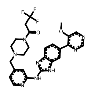 COc1cncnc1-c1ccc2nc(Nc3cc(CN4CCN(C(=O)CC(F)(F)F)CC4)ccn3)[nH]c2c1